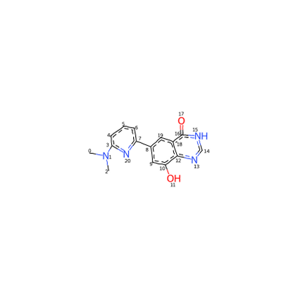 CN(C)c1cccc(-c2cc(O)c3nc[nH]c(=O)c3c2)n1